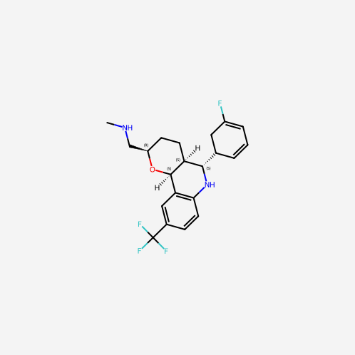 CNC[C@H]1CC[C@@H]2[C@H](O1)c1cc(C(F)(F)F)ccc1N[C@H]2C1C=CC=C(F)C1